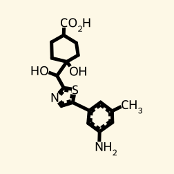 Cc1cc(N)cc(-c2cnc(C(O)C3(O)CCC(C(=O)O)CC3)s2)c1